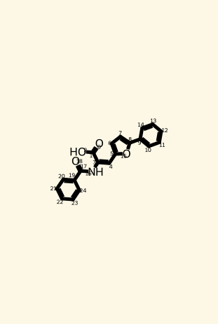 O=C(O)/C(=C\c1ccc(-c2ccccc2)o1)NC(=O)c1ccccc1